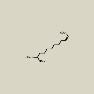 CCCCCCCC/C=C\CCCCCCCC(CCCCCCC)NC